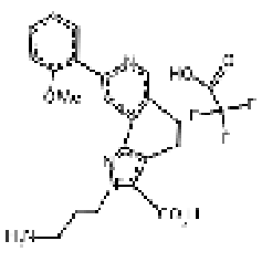 COc1ccccc1-c1cc2c(cn1)CCc1c-2nn(CCCN)c1C(=O)O.O=C(O)C(F)(F)F